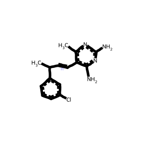 Cc1nc(N)nc(N)c1/C=C/C(C)c1cccc(Cl)c1